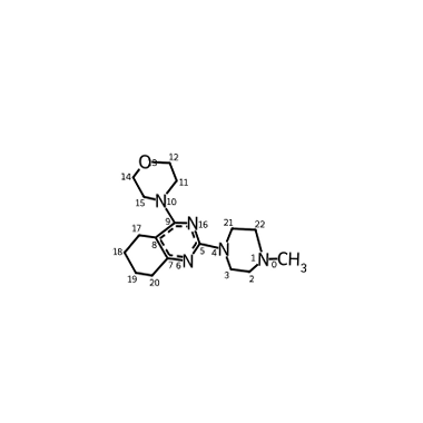 CN1CCN(c2nc3c(c(N4CCOCC4)n2)CCCC3)CC1